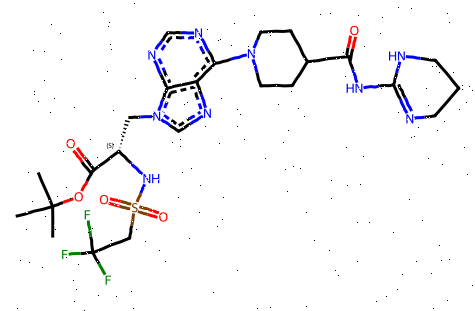 CC(C)(C)OC(=O)[C@H](Cn1cnc2c(N3CCC(C(=O)NC4=NCCCN4)CC3)ncnc21)NS(=O)(=O)CC(F)(F)F